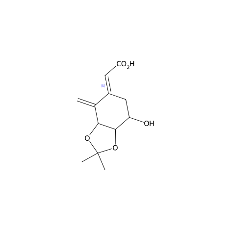 C=C1/C(=C/C(=O)O)CC(O)C2OC(C)(C)OC12